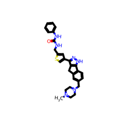 CN1CCN(Cc2ccc3c(c2)Cc2c(-c4csc(CNC(=O)Nc5ccccc5)c4)n[nH]c2-3)CC1